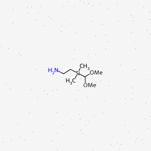 COC(OC)[Si](C)(C)CCN